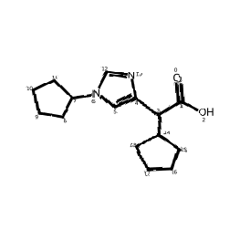 O=C(O)C(c1cn(C2CCCC2)cn1)C1CCCC1